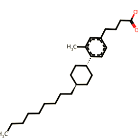 CCCCCCCCC[C@H]1CC[C@H](c2ccc(CCCC(=O)O)cc2C)CC1